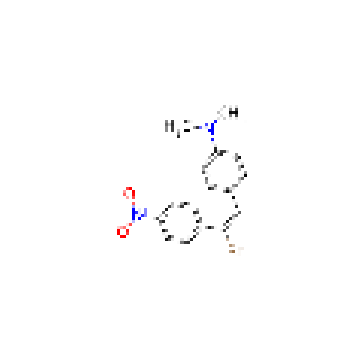 CN(C)c1ccc(/C=C(/Br)c2ccc([N+](=O)[O-])cc2)cc1